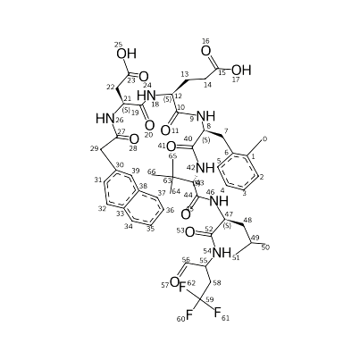 Cc1ccccc1C[C@H](NC(=O)[C@H](CCC(=O)O)NC(=O)[C@H](CC(=O)O)NC(=O)Cc1ccc2ccccc2c1)C(=O)N[C@H](C(=O)N[C@@H](CC(C)C)C(=O)NC(C=O)CC(F)(F)F)C(C)(C)C